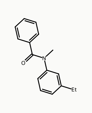 CCc1cccc(N(C)C(=O)c2ccccc2)c1